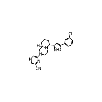 N#Cc1cncc(N2CCN3[C@@H](CCC[C@@H]3c3cc(-c4cccc(Cl)c4)on3)C2)n1